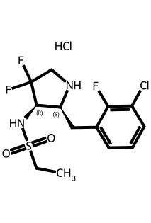 CCS(=O)(=O)N[C@@H]1[C@H](Cc2cccc(Cl)c2F)NCC1(F)F.Cl